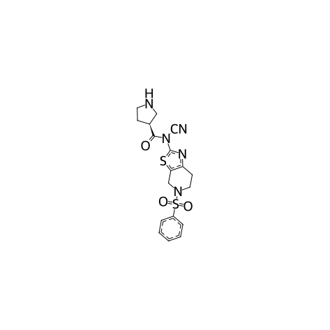 N#CN(C(=O)[C@H]1CCNC1)c1nc2c(s1)CN(S(=O)(=O)c1ccccc1)CC2